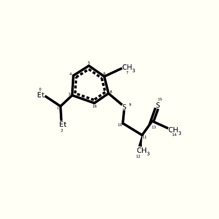 CCC(CC)c1ccc(C)c(SC[C@H](C)C(C)=S)c1